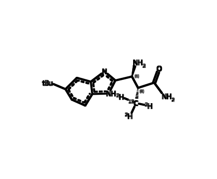 [2H][13C]([2H])([2H])[C@@H](C(N)=O)[C@H](N)c1nc2cc(C(C)(C)C)ccc2[nH]1